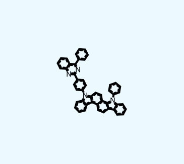 c1ccc(-c2nc(-c3ccc(-n4c5ccccc5c5c6ccc7c8ccccc8n(-c8ccccc8)c7c6ccc54)cc3)nc3ccccc23)cc1